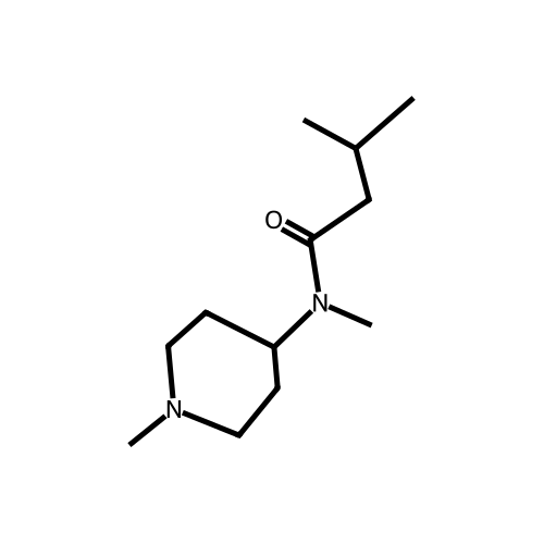 CC(C)CC(=O)N(C)C1CCN(C)CC1